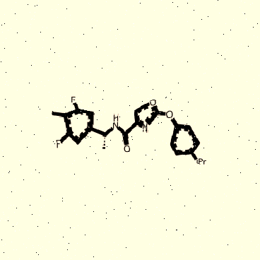 Cc1c(F)cc([C@@H](C)NC(=O)c2coc(Oc3ccc(C(C)C)cc3)n2)cc1F